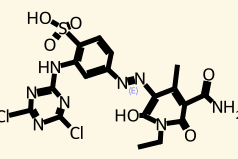 CCn1c(O)c(/N=N/c2ccc(S(=O)(=O)O)c(Nc3nc(Cl)nc(Cl)n3)c2)c(C)c(C(N)=O)c1=O